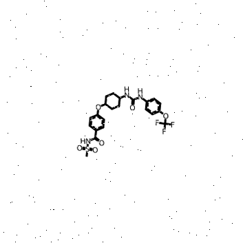 CS(=O)(=O)NC(=O)c1ccc(OC2CCC(NC(=O)Nc3ccc(OC(F)(F)F)cc3)CC2)cc1